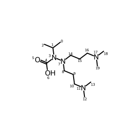 CC(C)N(C(=O)O)N(CCCN(C)C)CCCN(C)C